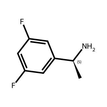 C[C@H](N)c1cc(F)cc(F)c1